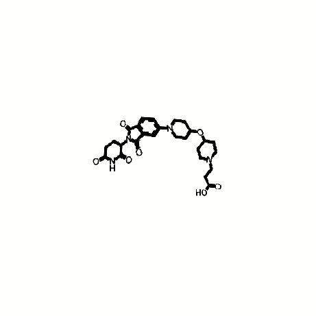 O=C(O)CCN1CCC(OC2CCN(c3ccc4c(c3)C(=O)N(C3CCC(=O)NC3=O)C4=O)CC2)CC1